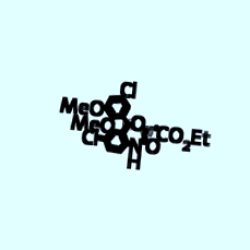 CCOC(=O)C[C@H]1O[C@H](c2cc(Cl)cc(OC)c2OC)c2cc(Cl)ccc2NC1=O